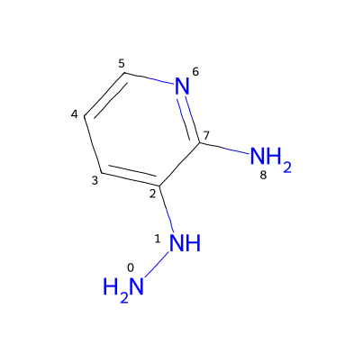 NNc1cccnc1N